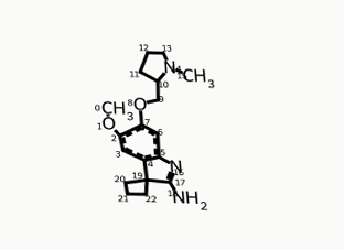 COc1cc2c(cc1OCC1CCCN1C)N=C(N)C21CCC1